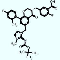 Cc1cc(F)ccc1-c1cc(Cn2ccn(C)/c2=N\C(=O)OC(C)(C)C)cc2c1OC[C@H](Cc1ccc(F)c(C(=O)O)c1)C2=O